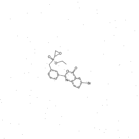 CCOP(=O)(Cc1cccc(-c2nc3ccc(Br)cc3c(=O)o2)c1)C1CO1